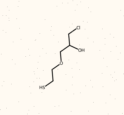 OC(CCl)COCCS